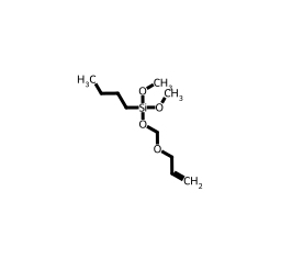 C=CCOCO[Si](CCCC)(OC)OC